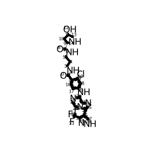 O=C(NCCCNC(=O)[C@@H]1C[C@@H](O)CN1)c1ccc(Nc2nccn3c(-c4c[nH]nc4C(F)(F)F)cnc23)cc1Cl